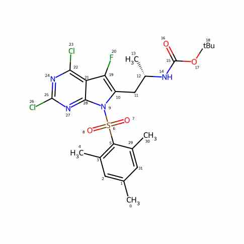 Cc1cc(C)c(S(=O)(=O)n2c(C[C@H](C)NC(=O)OC(C)(C)C)c(F)c3c(Cl)nc(Cl)nc32)c(C)c1